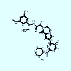 COc1cc(F)cc([C@@H](CO)NC(=O)[C@@H](C)n2cnn3cc(-c4nc(N[C@@H]5CCOC[C@H]5C)ncc4Cl)cc3c2=O)c1